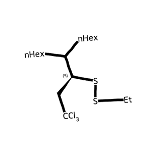 CCCCCCC(CCCCCC)[C@H](CC(Cl)(Cl)Cl)SSCC